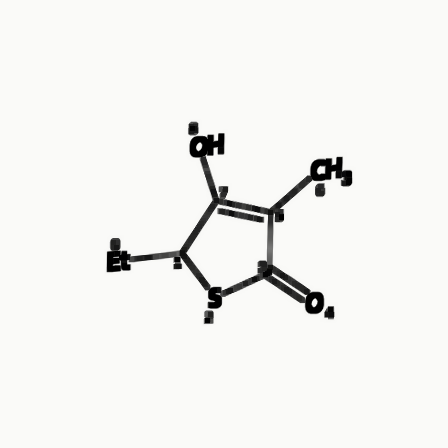 CCC1SC(=O)C(C)=C1O